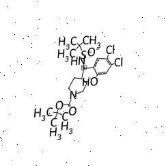 CC(C)(C)OC(=O)N1CCC([C@@H](N[S+]([O-])C(C)(C)C)c2cc(Cl)c(Cl)cc2O)CC1